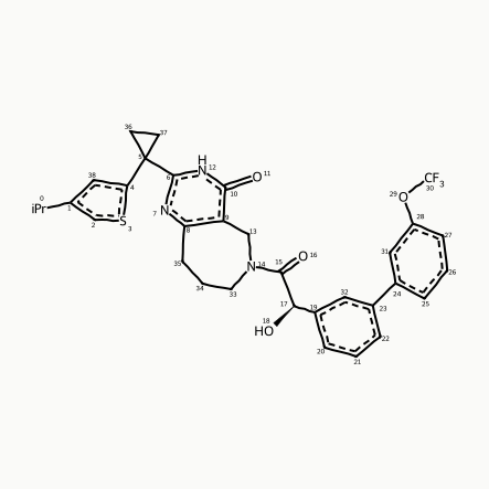 CC(C)c1csc(C2(c3nc4c(c(=O)[nH]3)CN(C(=O)[C@H](O)c3cccc(-c5cccc(OC(F)(F)F)c5)c3)CCC4)CC2)c1